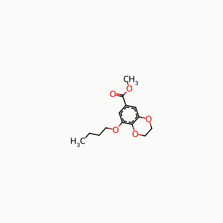 CCCCOc1cc(C(=O)OC)cc2c1OCCO2